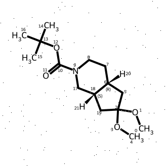 COC1(OC)C[C@H]2CCN(C(=O)OC(C)(C)C)C[C@H]2C1